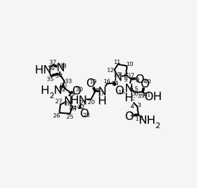 NC(=O)CC[C@H](NC(=O)[C@@H]1CCCN1C(=O)CNC(=O)CNC(=O)[C@@H]1CCCN1C(=O)[C@@H](N)Cc1c[nH]cn1)C(=O)O